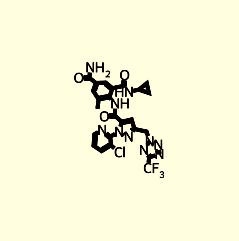 Cc1cc(C(N)=O)cc(C(=O)NC2CC2)c1NC(=O)c1cc(Cn2nnc(C(F)(F)F)n2)nn1-c1ncccc1Cl